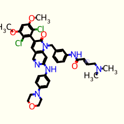 COc1cc(OC)c(Cl)c(-c2cc3cnc(Nc4ccc(N5CCOCC5)cc4)cc3n(Cc3cccc(NC(=O)/C=C/CN(C)C)c3)c2=O)c1Cl